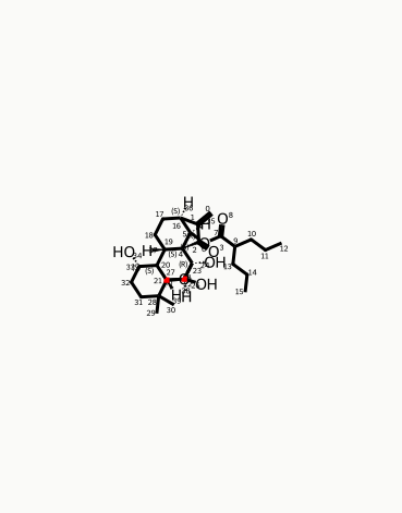 C=C1C(=O)[C@]23[C@H](OC(=O)C(CCC)CCC)[C@H]1CC[C@H]2[C@@]12CO[C@@]3(O)[C@@H](O)[C@@H]1C(C)(C)CC[C@@H]2O